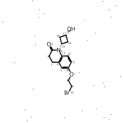 O=C1CCc2cc(OCCBr)ccc2N1[C@H]1C[C@@H](O)C1